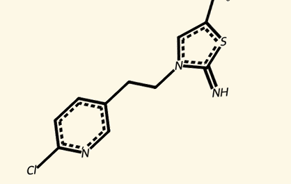 Cc1cn(CCc2ccc(Cl)nc2)c(=N)s1